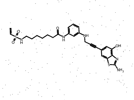 C=CS(=O)(=O)NCCCCCCC(=O)Nc1cccc(NCC#Cc2cc(O)c3nc(N)sc3c2)c1